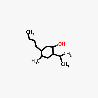 CCCCC1CC(O)C(C(C)C)CC1C